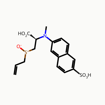 C=CC[S+]([O-])C[C@@H](C(=O)O)N(C)c1ccc2cc(S(=O)(=O)O)ccc2c1